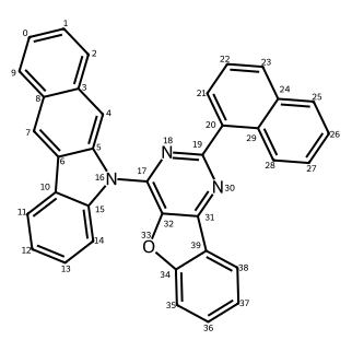 c1ccc2cc3c(cc2c1)c1ccccc1n3-c1nc(-c2cccc3ccccc23)nc2c1oc1ccccc12